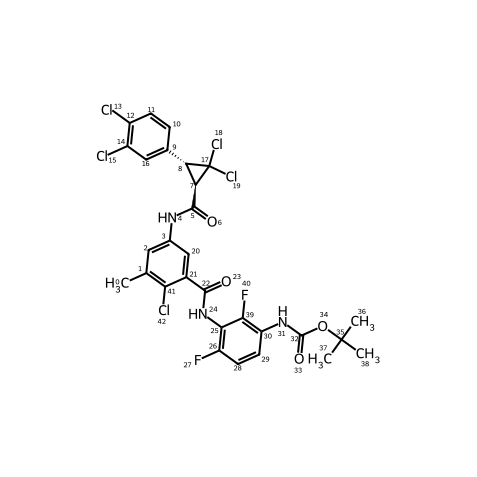 Cc1cc(NC(=O)[C@H]2[C@H](c3ccc(Cl)c(Cl)c3)C2(Cl)Cl)cc(C(=O)Nc2c(F)ccc(NC(=O)OC(C)(C)C)c2F)c1Cl